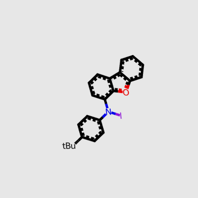 CC(C)(C)c1ccc(N(I)c2cccc3c2oc2ccccc23)cc1